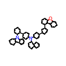 c1cc(-c2ccc(N(c3ccc(-c4ccccc4-n4c5ccccc5c5ccccc54)cc3)c3cccc4ccccc34)cc2)cc(-c2cccc3oc4ccccc4c23)c1